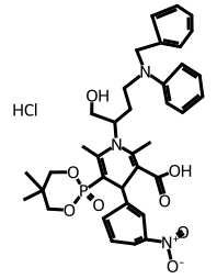 CC1=C(C(=O)O)C(c2cccc([N+](=O)[O-])c2)C(P2(=O)OCC(C)(C)CO2)=C(C)N1C(CO)CCN(Cc1ccccc1)c1ccccc1.Cl